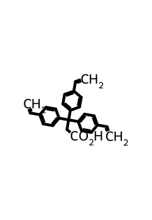 C=Cc1ccc(C(CC(=O)O)(c2ccc(C=C)cc2)c2ccc(C=C)cc2)cc1